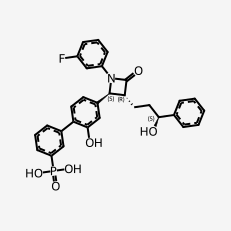 O=C1[C@H](CC[C@H](O)c2ccccc2)[C@@H](c2ccc(-c3cccc(P(=O)(O)O)c3)c(O)c2)N1c1cccc(F)c1